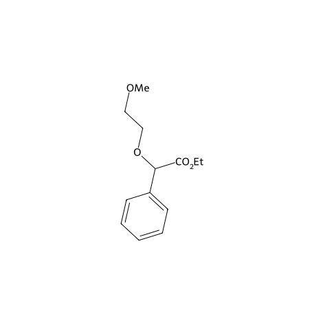 CCOC(=O)C(OCCOC)c1ccccc1